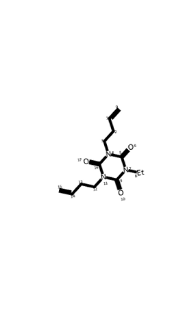 C=CCCn1c(=O)n(CC)c(=O)n(CCC=C)c1=O